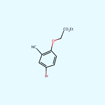 CCOC(=O)COc1ccc(Br)cc1C#N